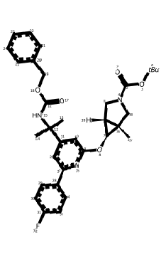 CC(C)(C)OC(=O)N1C[C@H]2[C@H](Oc3cc(C(C)(C)NC(=O)OCc4ccccc4)cc(-c4ccc(F)cc4)n3)[C@@]2(C)C1